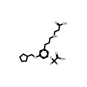 O=C(O)C(F)(F)F.O=C(O)CCNCCCc1cccc(OCC2CCCC2)c1